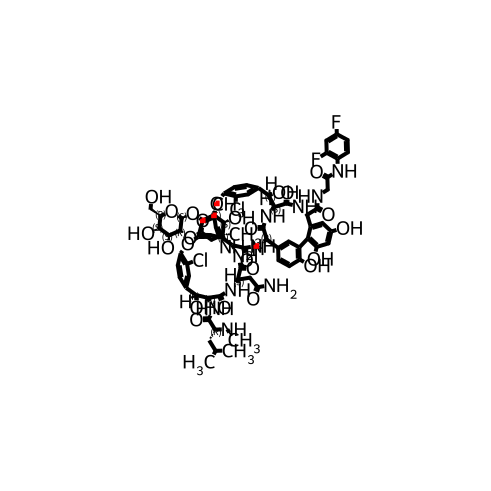 CN[C@H](CC(C)C)C(=O)N[C@H]1C(=O)N[C@@H](CC(N)=O)C(=O)NC2C(=O)N[C@H]3C(=O)N[C@H](C(=O)NC(C(=O)NCC(=O)Nc4ccc(F)cc4F)c4cc(O)cc(O)c4-c4cc3ccc4O)[C@H](O)c3ccc(c(Cl)c3)Oc3cc2cc(c3O[C@@H]2O[C@H](CO)[C@@H](O)[C@H](O)[C@H]2OC2C[C@](C)(N)[C@H](O)[C@H](C)O2)Oc2ccc(cc2Cl)[C@H]1O